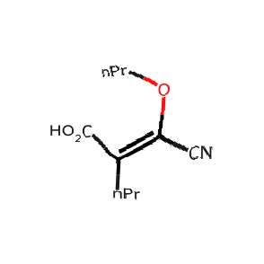 CCCOC(C#N)=C(CCC)C(=O)O